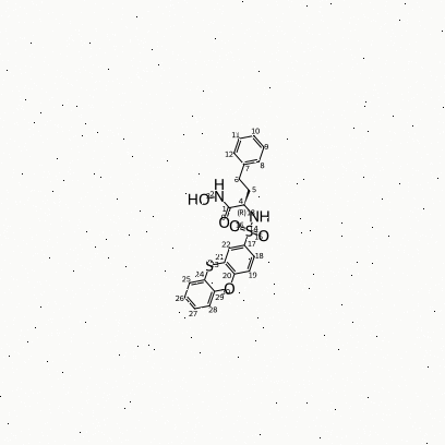 O=C(NO)[C@@H](CCc1ccccc1)NS(=O)(=O)c1ccc2c(c1)Sc1ccccc1O2